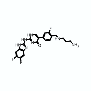 NCCCNCc1ccc(-c2c[nH]c(Nc3nc4cc(F)c(F)cc4[nH]3)nc2=O)cc1F